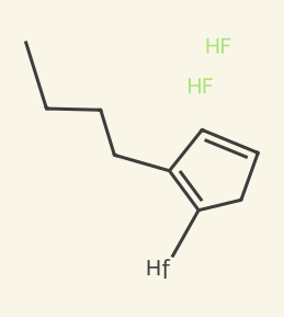 CCCCC1=[C]([Hf])CC=C1.F.F